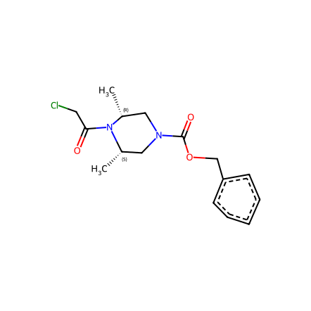 C[C@@H]1CN(C(=O)OCc2ccccc2)C[C@H](C)N1C(=O)CCl